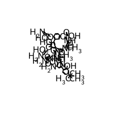 C[C@@H]1NC(=O)[C@@H](N(C)C(=O)[C@H](CNS(N)(=O)=O)NC(=O)c2c(N)cc(-c3ccc(C(C)(C)C)cc3O)nc2Cl)c2cc(OC[C@H](O)CN)c(O)c(c2)-c2cc(ccc2OC[C@H](O)CN)C[C@@H](C(=O)O)NC1=O